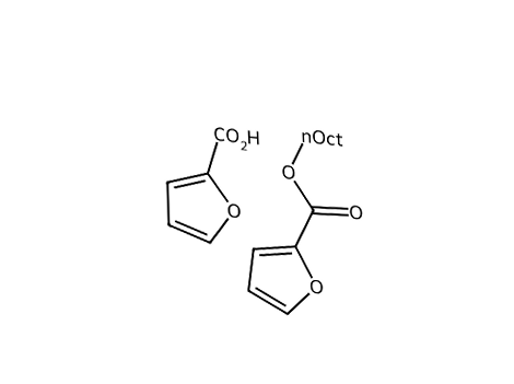 CCCCCCCCOC(=O)c1ccco1.O=C(O)c1ccco1